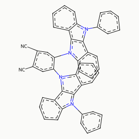 N#Cc1cc(-n2c3ccccc3c3c2c2ccccc2n3-c2ccccc2)c(-n2c3ccccc3c3c2c2ccccc2n3-c2ccccc2)cc1C#N